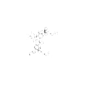 O=C(Nc1ccc(NS(=O)(=O)CCO)cc1N1CCC2(CC1)CC2)c1ccc(OCF)c(OCCC(F)(F)F)n1